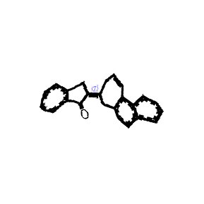 O=C1/C(=C2/CC=Cc3c(ccc4ccccc34)C2)Cc2ccccc21